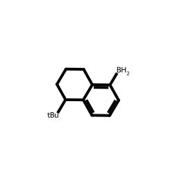 Bc1cccc2c1CCCC2C(C)(C)C